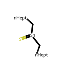 CCCCCCC[CH2][Sn](=[S])[CH2]CCCCCCC